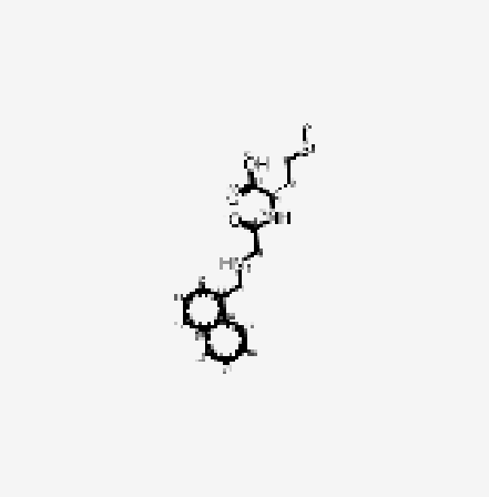 CSCC[C@H](NC(=O)CNCc1cccc2ccccc12)C(=O)O